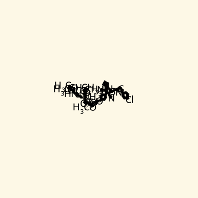 C[C@H](NC(=O)[C@H](CCCCNC(=O)OC(C)(C)C)NC(=O)OC(C)(C)C)C(=O)OCCOc1ccc(-c2c(C#N)c(SCc3csc(-c4ccc(Cl)cc4)n3)nc(N3CCC3)c2C#N)cc1